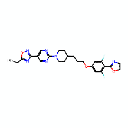 CC(C)Cc1nc(-c2cnc(N3CCC(CCCOc4cc(F)c(C5=NCCO5)c(F)c4)CC3)nc2)no1